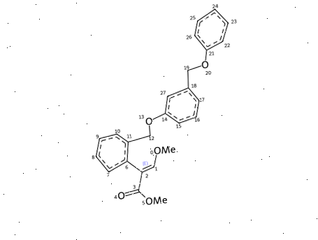 CO/C=C(/C(=O)OC)c1ccccc1COc1cccc(COc2ccccc2)c1